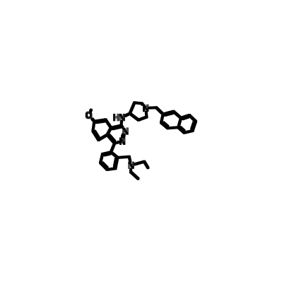 CCN(CC)Cc1ccccc1-c1nnc(NC2CCN(Cc3ccc4ccccc4c3)CC2)c2cc(OC)ccc12